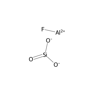 O=[Si]([O-])[O-].[F][Al+2]